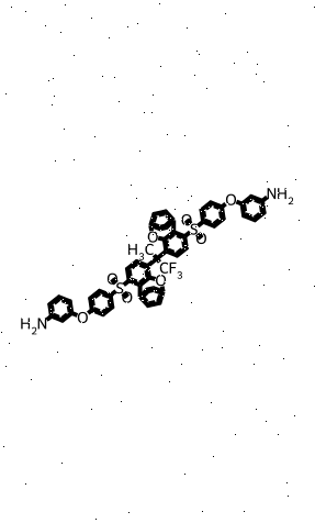 CC(c1ccc(S(=O)(=O)c2ccc(Oc3cccc(N)c3)cc2)c2c1Oc1ccc-2cc1)(c1ccc(S(=O)(=O)c2ccc(Oc3cccc(N)c3)cc2)c2c1Oc1ccc-2cc1)C(F)(F)F